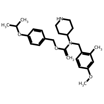 C=C(OCc1ccc(OC(C)C)cc1)N(Cc1ccc(OC)cc1C)C1CCNCC1